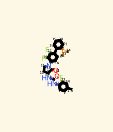 Cc1ccc(NC(=O)N[C@@H]2CCN(c3ccc(-c4ccccc4P(C)C)c(F)c3F)C2=O)c(F)c1